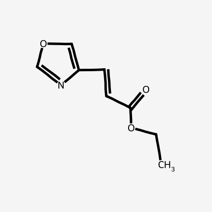 CCOC(=O)/C=C/c1cocn1